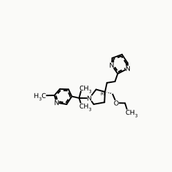 CCOC[C@]1(CCc2ncccn2)CCN(C(C)(C)c2ccc(C)nc2)C1